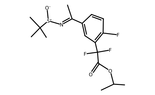 CC(=N[S+]([O-])C(C)(C)C)c1ccc(F)c(C(F)(F)C(=O)OC(C)C)c1